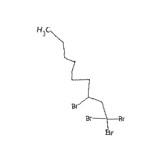 CCCCCCC(Br)CC(Br)(Br)Br